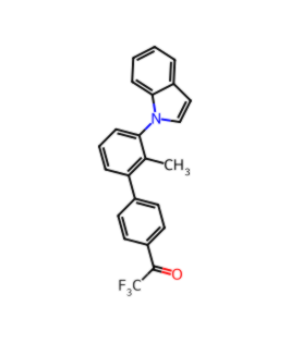 Cc1c(-c2ccc(C(=O)C(F)(F)F)cc2)cccc1-n1ccc2ccccc21